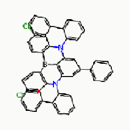 Clc1ccc2c(c1)N(c1ccccc1-c1ccccc1)c1cc(-c3ccccc3)cc3c1B2c1ccc(Cl)cc1N3c1ccccc1-c1ccccc1